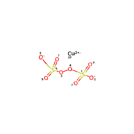 O=S(=O)([O-])OOS(=O)(=O)[O-].[Cu+2]